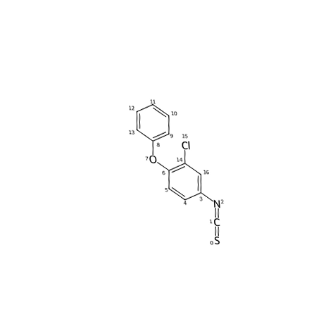 S=C=Nc1ccc(Oc2ccccc2)c(Cl)c1